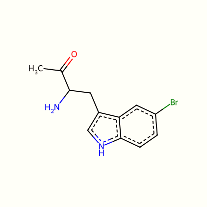 CC(=O)C(N)Cc1c[nH]c2ccc(Br)cc12